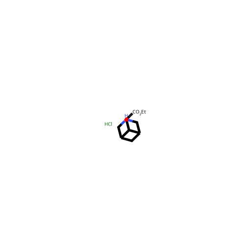 CCOC(=O)CC1C2CNCC1C2.Cl